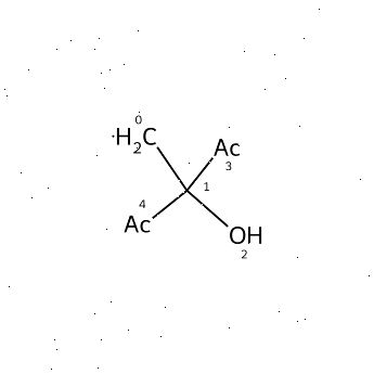 [CH2]C(O)(C(C)=O)C(C)=O